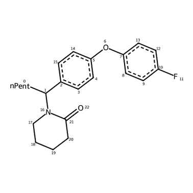 CCCCCC(c1ccc(Oc2ccc(F)cc2)cc1)N1CCCCC1=O